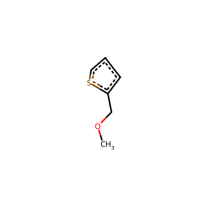 COCc1cccs1